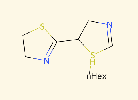 CCCCCC[SH]1[C]=NCC1C1=NCCS1